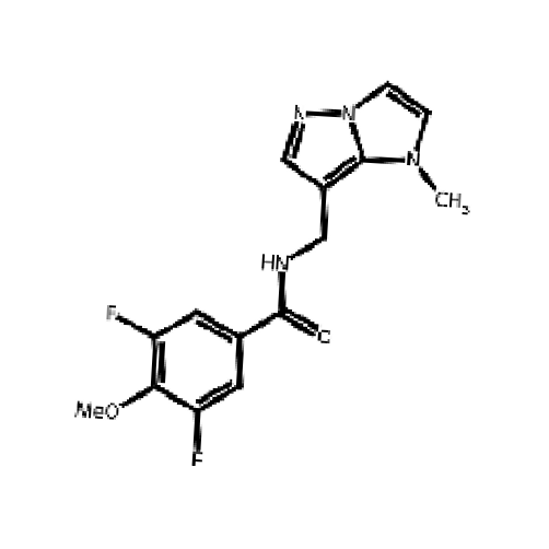 COc1c(F)cc(C(=O)NCc2cnn3ccn(C)c23)cc1F